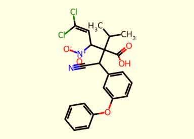 CC(C)C(C(=O)O)(C(C#N)c1cccc(Oc2ccccc2)c1)C(C=C(Cl)Cl)[N+](=O)[O-]